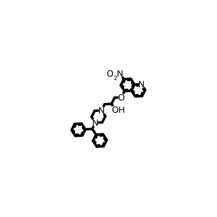 O=[N+]([O-])c1cc(OCC(O)CN2CCN(C(c3ccccc3)c3ccccc3)CC2)c2cccnc2c1